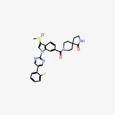 C[S+]([O-])c1cn(-c2ncc(-c3ccccc3F)cn2)c2cc(C(=O)N3CCC4(CCNC4=O)CC3)ccc12